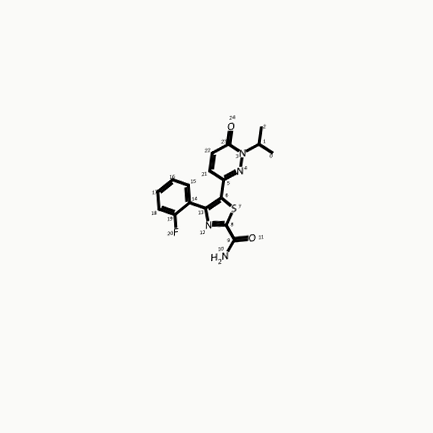 CC(C)n1nc(-c2sc(C(N)=O)nc2-c2ccccc2F)ccc1=O